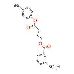 CCC(C)c1ccc(OC(=O)CCCOC(=O)c2cccc(S(=O)(=O)O)c2)cc1